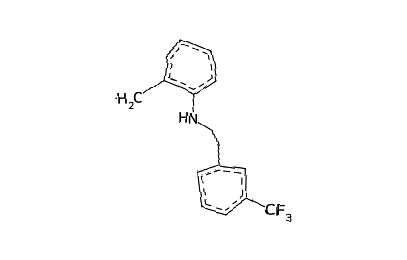 [CH2]c1ccccc1NCc1cccc(C(F)(F)F)c1